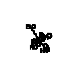 CCC(=O)CCCCC[C@H](NC(=O)Cc1ccc2cc[nH]c2c1)c1ncc(-c2ccccc2)[nH]1.O=C(O)C(F)(F)F